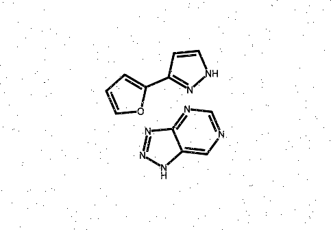 c1coc(-c2cc[nH]n2)c1.c1ncc2[nH]nnc2n1